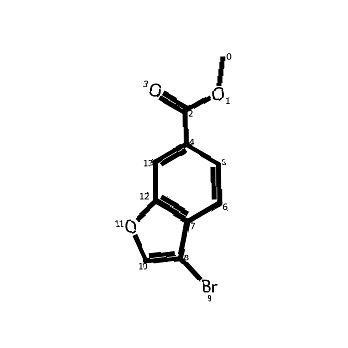 COC(=O)c1ccc2c(Br)coc2c1